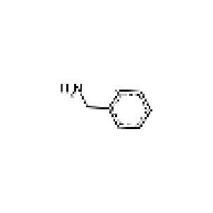 NCc1[c]cccc1